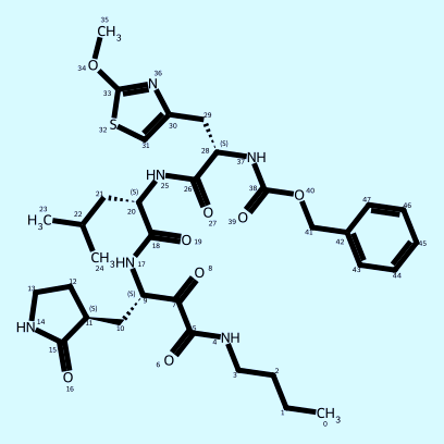 CCCCNC(=O)C(=O)[C@H](C[C@@H]1CCNC1=O)NC(=O)[C@H](CC(C)C)NC(=O)[C@H](Cc1csc(OC)n1)NC(=O)OCc1ccccc1